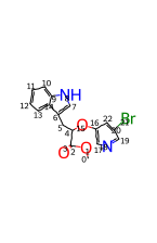 COC(=O)C(Cc1c[nH]c2ccccc12)Oc1cncc(Br)c1